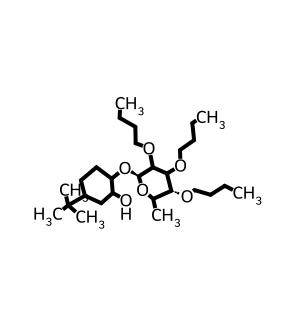 CCCCOC1C(OCCCC)[C@H](OCCCC)C(C)O[C@H]1OC1CCC(C(C)(C)C)CC1O